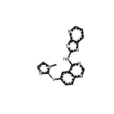 Cn1ccnc1Sc1ccc2ncnc(Nc3nc4cccnc4s3)c2c1